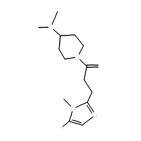 CN(C)C1CCN(C(=O)CCc2ncc(Cl)n2C)CC1